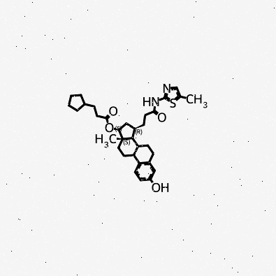 Cc1cnc(NC(=O)CC[C@@H]2C[C@H](OC(=O)CCC3CCCC3)[C@@]3(C)CCC4c5ccc(O)cc5CCC4C23)s1